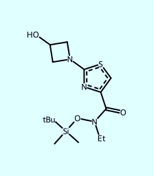 CCN(O[Si](C)(C)C(C)(C)C)C(=O)c1csc(N2CC(O)C2)n1